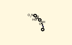 O=C(C/C=C/c1ccccc1)Nc1ccc(-c2nc3ccc([N+](=O)[O-])cc3n2O)cc1